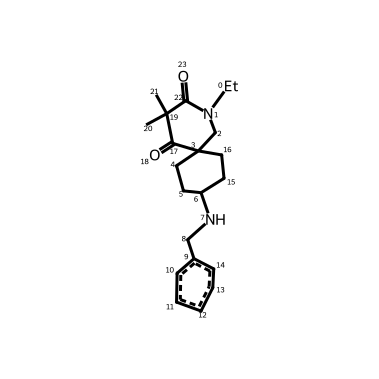 CCN1CC2(CCC(NCc3ccccc3)CC2)C(=O)C(C)(C)C1=O